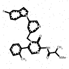 CNC(C)C(=O)Nc1ncc(-c2ccccc2C)n(Cc2cncc(-n3ccc4cc(F)ccc43)c2)c1=O